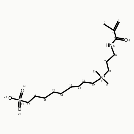 C=C(C)C(=O)NCCC[N+](C)(C)CCCCCCCCCS(=O)(=O)[O-]